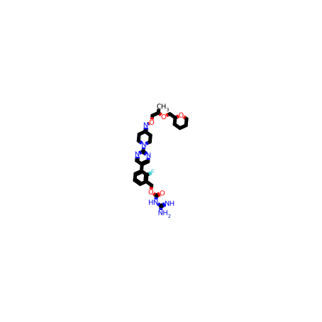 CC(CON=C1CCN(c2ncc(-c3cccc(COC(=O)NC(=N)N)c3F)cn2)CC1)OCC1CCCCO1